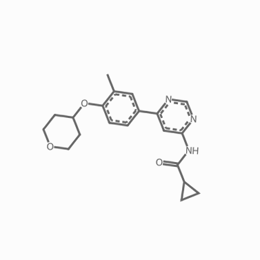 Cc1cc(-c2cc(NC(=O)C3CC3)ncn2)ccc1OC1CCOCC1